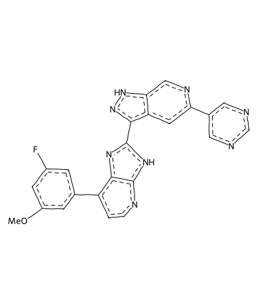 COc1cc(F)cc(-c2ccnc3[nH]c(-c4n[nH]c5cnc(-c6cncnc6)cc45)nc23)c1